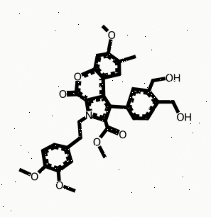 COC(=O)c1c(-c2ccc(CO)c(CO)c2)c2c3cc(C)c(OC)cc3oc(=O)c2n1CCc1ccc(OC)c(OC)c1